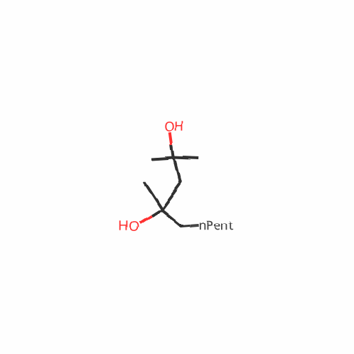 CCCCCCC(C)(O)CC(C)(C)O